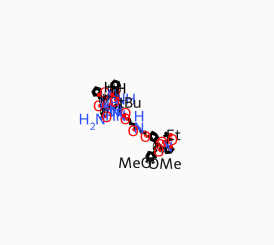 CCC(C)(C)C(=O)C(=O)N1CCCC[C@H]1C(=O)O[C@H](CCc1ccc(OC)c(OC)c1)c1cccc(OCCNC(=O)CCCOC(=O)Nc2cccc(C(=O)N[C@H](CC(N)=O)C(=O)N[C@H](Cc3ccccc3)[C@H](O)CN3C[C@H]4CCCC[C@H]4C[C@H]3C(=O)NC(C)(C)C)n2)c1